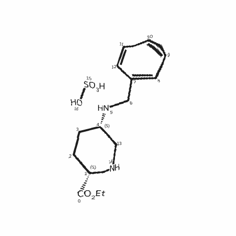 CCOC(=O)[C@@H]1CC[C@H](NCc2ccccc2)CN1.O=S(=O)(O)O